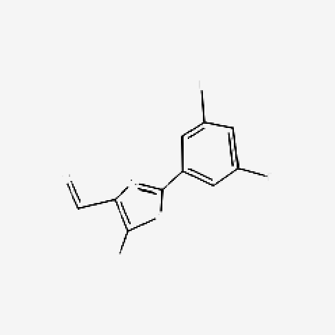 Cc1sc(-c2cc(F)cc(F)c2)nc1C=O